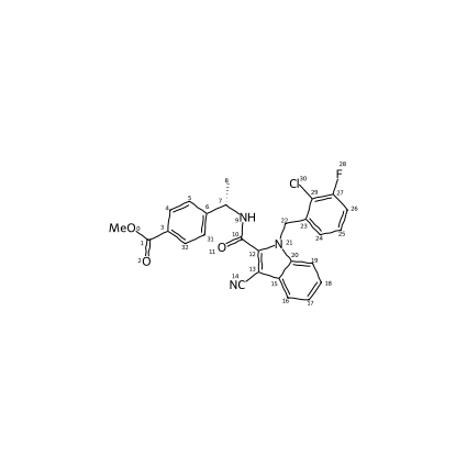 COC(=O)c1ccc([C@H](C)NC(=O)c2c(C#N)c3ccccc3n2Cc2cccc(F)c2Cl)cc1